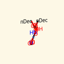 CCCCCCCCCCCCCCCC(=O)OC[C@H](COP(=O)(O)OCCNC(=O)CCC/C=C/CCCCC(=O)ON1C(=O)CCC1=O)OC(=O)CCCCCCCCCCCCCCC